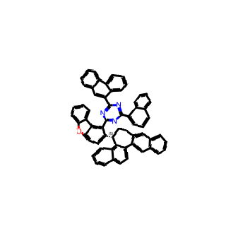 c1ccc2cc3c(cc2c1)CC[C@@H](c1ccc2oc4ccccc4c2c1-c1nc(-c2cccc4ccccc24)nc(-c2cc4ccccc4c4ccccc24)n1)c1c-3ccc2ccccc12